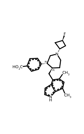 Cc1cc(C)c2[nH]ccc2c1C[C@@H]1CCN([C@H]2C[C@H](F)C2)C[C@H]1c1ccc(C(=O)O)cc1